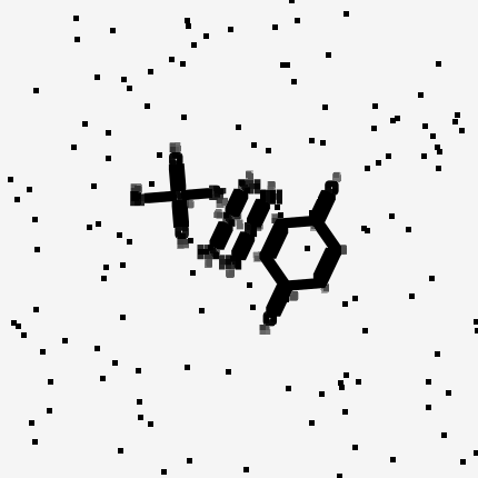 N=[N+]=N.N=[N+]=N.O=C1C=CC(=O)C=C1.O=S(=O)(Br)Br